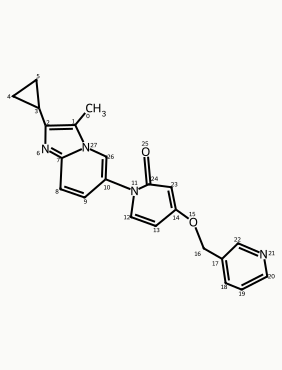 Cc1c(C2CC2)nc2ccc(-n3ccc(OCc4cccnc4)cc3=O)cn12